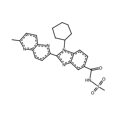 Cc1ccc2nc(-c3nc4cc(C(=O)NS(C)(=O)=O)ccc4n3C3CCCCC3)ccc2n1